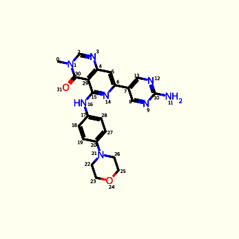 Cn1cnc2cc(-c3cnc(N)nc3)nc(Nc3ccc(N4CCOCC4)cc3)c2c1=O